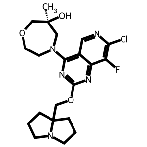 C[C@@]1(O)COCCN(c2nc(OCC34CCCN3CCC4)nc3c(F)c(Cl)ncc23)C1